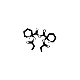 CCC(=O)OC1(C(=O)OC(=O)C2(OC(=O)CC)CCCCO2)CCCCO1